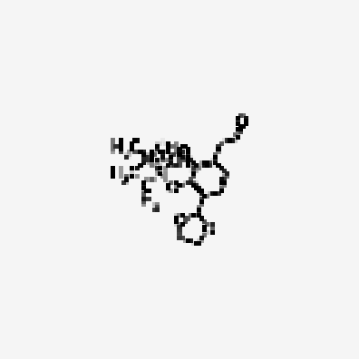 COc1c(CC=O)ccc(C2OCCO2)c1O[Si](C)(C)C(C)(C)C